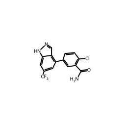 NC(=O)c1cc(-c2cc(C(F)(F)F)cc3[nH]ncc23)ccc1Cl